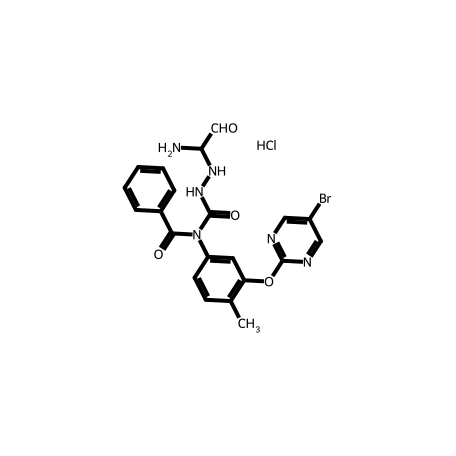 Cc1ccc(N(C(=O)NNC(N)C=O)C(=O)c2ccccc2)cc1Oc1ncc(Br)cn1.Cl